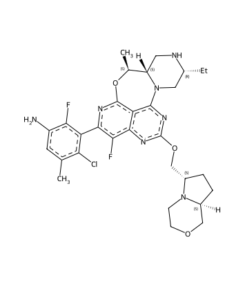 CC[C@@H]1CN2c3nc(OC[C@@H]4CC[C@H]5COCCN54)nc4c(F)c(-c5c(F)c(N)cc(C)c5Cl)nc(c34)O[C@@H](C)[C@@H]2CN1